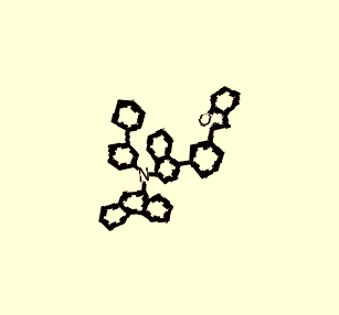 c1ccc(-c2cccc(N(c3ccc(-c4cccc(-c5cc6ccccc6o5)c4)c4ccccc34)c3cc4ccccc4c4ccccc34)c2)cc1